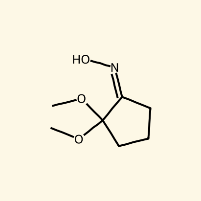 COC1(OC)CCC/C1=N/O